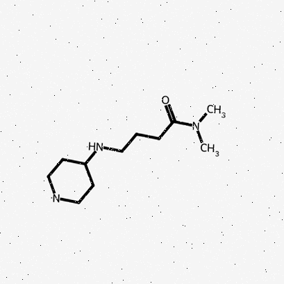 CN(C)C(=O)CCCNC1CC[N]CC1